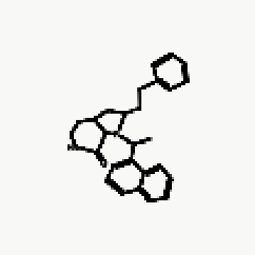 CC(c1cccc2ccccc12)N1C(CCc2ccccc2)CC2CCNC(=O)C21